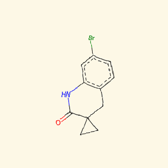 O=C1Nc2cc(Br)ccc2CC12CC2